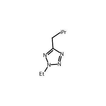 CCn1nnc(CC(C)C)n1